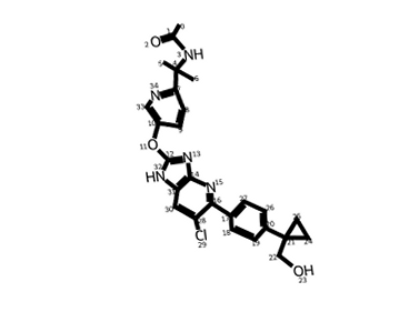 CC(=O)NC(C)(C)c1ccc(Oc2nc3nc(-c4ccc(C5(CO)CC5)cc4)c(Cl)cc3[nH]2)cn1